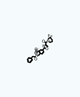 O=C(Cc1ccccc1)NCc1ccc(-c2nc(C(=O)N3CCCC(F)(F)C3)co2)cc1[N+](=O)[O-]